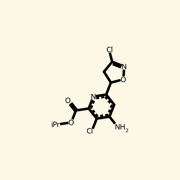 CC(C)OC(=O)c1nc(C2CC(Cl)=NO2)cc(N)c1Cl